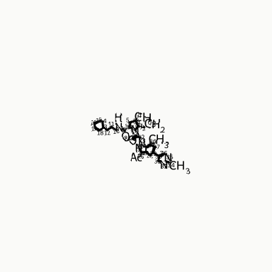 C=C[C@@H]1[C@@H](C)C[C@@H](C(=O)NCCCc2ccccc2)N1C(=O)Cn1nc(C(C)=O)c2cc(-c3cnc(C)nc3)cc(C)c21